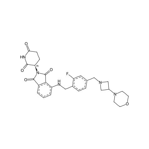 O=C1CC[C@@H](N2C(=O)c3cccc(NCc4ccc(CN5CC(N6CCOCC6)C5)cc4F)c3C2=O)C(=O)N1